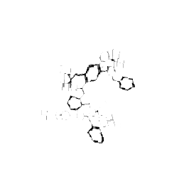 [2H]C1([2H])Cc2cc(OC([2H])([2H])[2H])c(OCc3ccccc3)cc2C(Cc2ccc(OC)c(OCc3ccccc3)c2COC(C)=O)N1